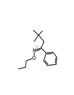 CCCO/N=C(/CC(C)(C)C)c1ccccc1